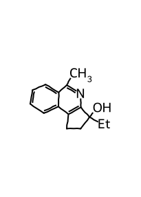 CCC1(O)CCc2c1nc(C)c1ccccc21